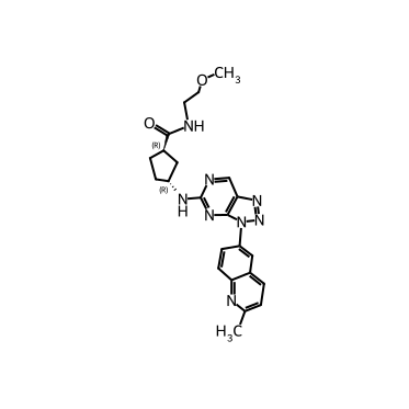 COCCNC(=O)[C@@H]1CC[C@@H](Nc2ncc3nnn(-c4ccc5nc(C)ccc5c4)c3n2)C1